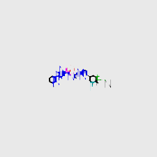 Cc1cccc(-n2cnc(C(=O)NC(C)Cn3ccc(-c4cc(F)c(C#N)c(Cl)c4)n3)c2)n1